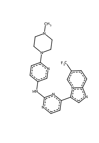 CN1CCN(c2ccc(Nc3nccc(-c4cnc5ccc(C(F)(F)F)cn45)n3)cn2)CC1